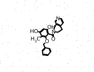 Cc1c(O)cc(O)c(C(=O)N2CCc3ccncc3C2)c1OCc1ccccc1